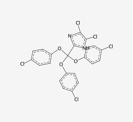 Clc1ccc(OC(Oc2ccc(Cl)cc2)(Oc2ccc(Cl)cc2)c2nc(Cl)c(Cl)[nH]2)cc1